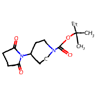 CCC(C)(C)OC(=O)N1CCC(N2C(=O)CCC2=O)CC1